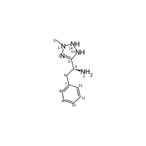 CN1N=C([C@@H](N)Cc2ccccc2)NN1